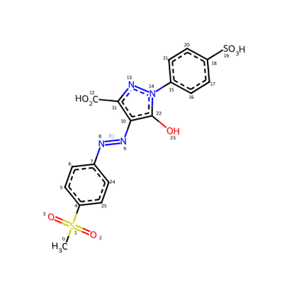 CS(=O)(=O)c1ccc(/N=N/c2c(C(=O)O)nn(-c3ccc(S(=O)(=O)O)cc3)c2O)cc1